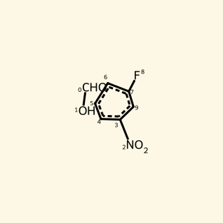 O=CO.O=[N+]([O-])c1cccc(F)c1